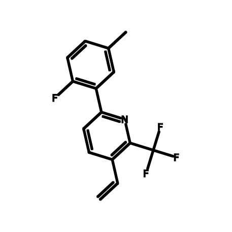 C=Cc1ccc(-c2cc(C)ccc2F)nc1C(F)(F)F